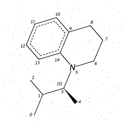 CC(C)[C@H](C)N1CCCc2ccccc21